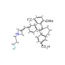 COc1ccc(C(F)(F)F)cc1C1=C(c2ccc(C=C3CN(CCCF)C3)cc2)c2ccc(C(=O)O)cc2CCC1